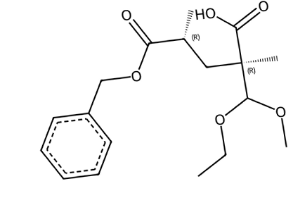 CCOC(OC)[C@@](C)(C[C@@H](C)C(=O)OCc1ccccc1)C(=O)O